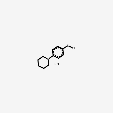 CCSc1ccc(N2CCCCC2)cc1.Cl